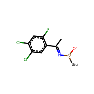 C/C(=N\[S+]([O-])C(C)(C)C)c1cc(Cl)c(Cl)cc1F